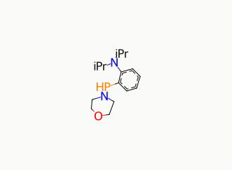 CC(C)N(c1ccccc1PN1CCOCC1)C(C)C